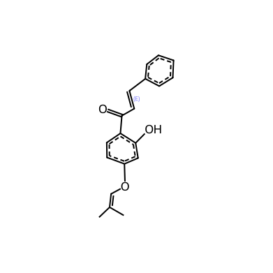 CC(C)=COc1ccc(C(=O)/C=C/c2ccccc2)c(O)c1